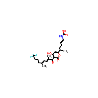 C/C(=C\C=C(/C)C(=O)c1c(O)cc(C(C)CC/C=C/NC(=O)O)oc1=O)CCCC(F)(F)F